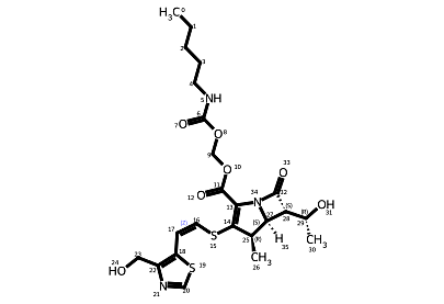 CCCCCNC(=O)OCOC(=O)C1=C(S/C=C\c2scnc2CO)[C@H](C)[C@@H]2[C@@H]([C@@H](C)O)C(=O)N12